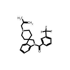 C=C(C)CN1CCC2(CC1)CN(C(=O)c1cccc(C(F)(F)F)c1)c1ccccc12